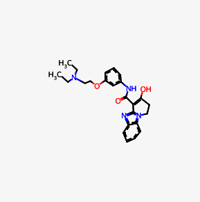 CCN(CC)CCOc1cccc(NC(=O)C2=C(O)CCn3c2nc2ccccc23)c1